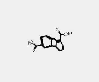 O=C(O)c1ccc2c(c1)-c1cccc(C(=O)O)c1-2